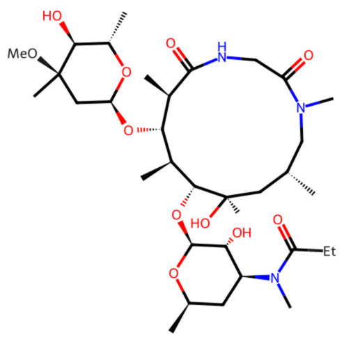 CCC(=O)N(C)[C@H]1C[C@@H](C)O[C@@H](O[C@@H]2[C@@H](C)[C@H](O[C@H]3C[C@@](C)(OC)[C@@H](O)[C@H](C)O3)[C@@H](C)C(=O)NCC(=O)N(C)C[C@H](C)C[C@@]2(C)O)[C@@H]1O